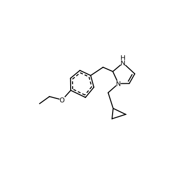 CCOc1ccc(CC2NC=CN2CC2CC2)cc1